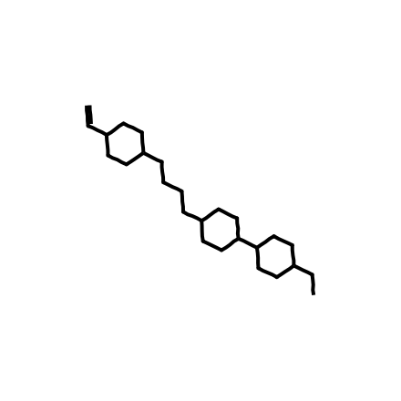 C=CC1CCC(CCCCC2CCC(C3CCC(CC)CC3)CC2)CC1